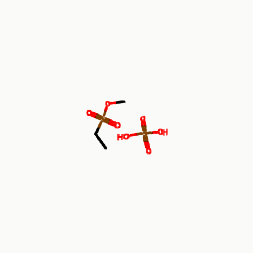 CCS(=O)(=O)OC.O=S(=O)(O)O